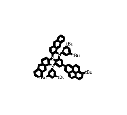 CC(C)(C)c1cc(N2c3cc(-c4cc5ccc6ccc(C(C)(C)C)c7ccc(c4)c5c67)cc4c3B(c3ccc5cc6ccccc6cc5c32)c2ccc3cc5ccccc5cc3c2N4c2cc(C(C)(C)C)cc(C(C)(C)C)c2)cc(C(C)(C)C)c1